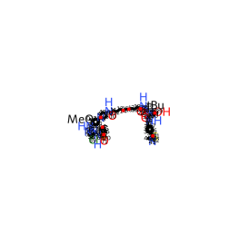 COc1cc(N2CCC(NC(=O)CCCCCCCCCC(=O)NC(C(=O)N3C[C@@H](O)C[C@H]3C(=O)NCc3ccc(-c4scnc4C)cc3)C(C)(C)C)CC2)ccc1Nc1ncc(Cl)c(Nc2ccccc2P(C)(C)=O)n1